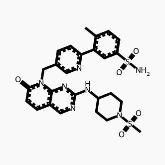 Cc1ccc(S(N)(=O)=O)cc1-c1ccc(Cn2c(=O)ccc3cnc(NC4CCN(S(C)(=O)=O)CC4)nc32)cn1